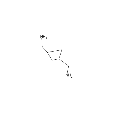 NCC1CC(CN)C1